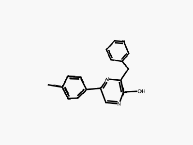 Cc1ccc(-c2cnc(O)c(Cc3ccccc3)n2)cc1